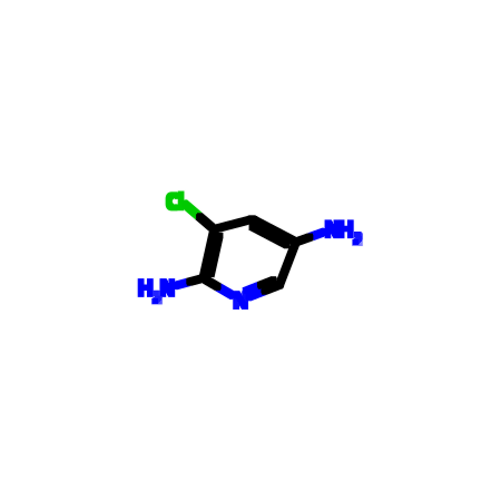 Nc1cnc(N)c(Cl)c1